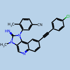 Cc1ccc(C#N)cc1-n1c(=N)n(C)c2cnc3ccc(C#Cc4ccc(Cl)cc4)cc3c21